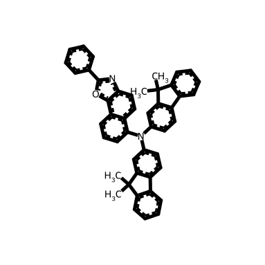 CC1(C)c2ccccc2-c2ccc(N(c3ccc4c(c3)C(C)(C)c3ccccc3-4)c3cccc4c3ccc3nc(-c5ccccc5)oc34)cc21